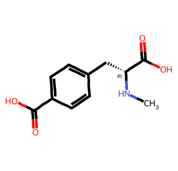 CN[C@H](Cc1ccc(C(=O)O)cc1)C(=O)O